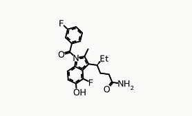 CC[C@@H](CCC(N)=O)c1c(C)n(C(=O)c2cccc(F)c2)c2ccc(O)c(F)c12